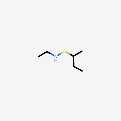 CCNSC(C)CC